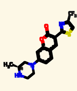 C[C@@H]1CN(c2ccc3cc(-c4nc(C(F)(F)F)cs4)c(=O)oc3c2)CCN1